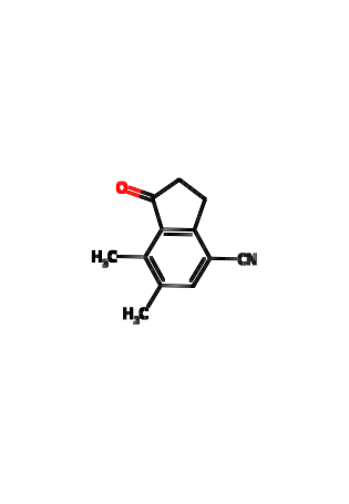 Cc1cc(C#N)c2c(c1C)C(=O)CC2